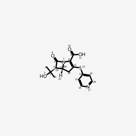 CC(C)(O)[C@H]1C(=O)N2C(C(=O)O)=C(Sc3ccncc3)C[C@H]12